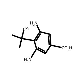 CCCC(C)(C)c1c(N)cc(C(=O)O)cc1N